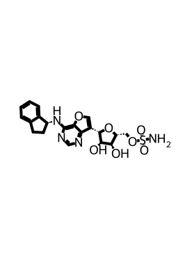 NS(=O)(=O)OC[C@H]1O[C@@H](c2coc3c(N[C@@H]4CCc5ccccc54)ncnc23)[C@H](O)[C@@H]1O